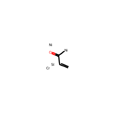 C=C[C](=O)[Ni].[Cr].[Ni].[Si]